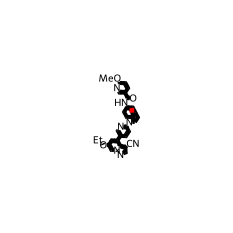 CCOc1cc(-c2ccc(N3C4CC5CC3CC(NC(=O)c3ccc(OC)nc3)(C5)C4)nc2)c2c(C#N)cnn2c1